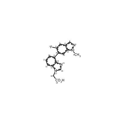 Cn1ncc2cc(F)c(-c3cccc4c3ncn4CC(=O)O)cc21